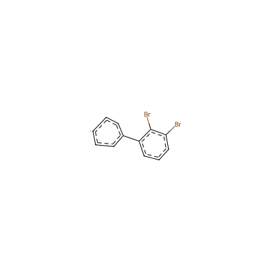 Brc1cccc(-c2cc[c]cc2)c1Br